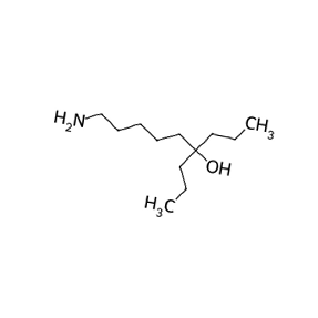 CCCC(O)(CCC)CCCCCN